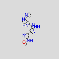 CCC(=O)Nc1cncc(-c2cnc3[nH]nc(-c4cc5c(-c6ccccn6)nccc5[nH]4)c3c2)c1